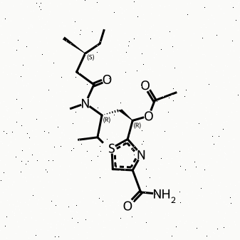 CC[C@H](C)CC(=O)N(C)[C@H](C[C@@H](OC(C)=O)c1nc(C(N)=O)cs1)C(C)C